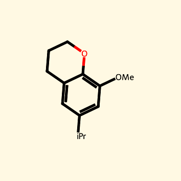 COc1cc(C(C)C)cc2c1OCCC2